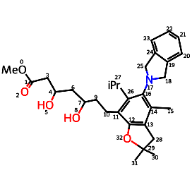 COC(=O)CC(O)CC(O)CCc1c2c(c(C)c(N3Cc4ccccc4C3)c1C(C)C)CC(C)(C)O2